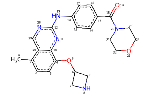 Cc1ccc(OC2CNC2)c2nc(Nc3ccc(C(=O)N4CCOCC4)cc3)ncc12